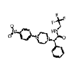 O=C(NCC(F)(F)F)C(c1ccccc1)N1CCN(c2ccc([N+](=O)[O-])cc2)CC1